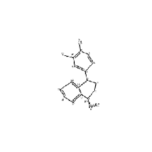 CC(=O)N[C@@H]1CCC(c2ccc(Cl)c(C)c2)c2ccccc21